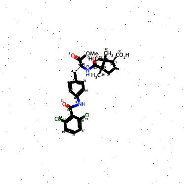 COC(=O)[C@@H](Cc1ccc(NC(=O)c2c(Cl)cccc2Cl)cc1)NC(=O)[C@@]1(C)CC[C@H](C(=O)O)C1(C)C